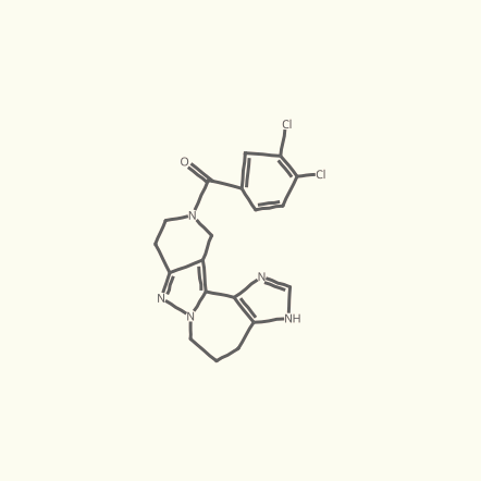 O=C(c1ccc(Cl)c(Cl)c1)N1CCc2nn3c(c2C1)-c1nc[nH]c1CCC3